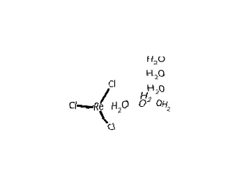 O.O.O.O.O.O.[Cl][Re]([Cl])[Cl]